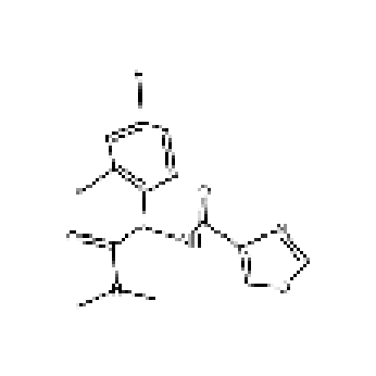 CN(C)C(=O)C(NC(=O)c1cocn1)c1ccc(F)cc1F